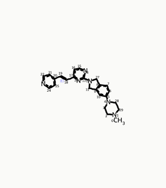 CN1CCN(c2ccc3c(c2)CN(c2nccc(/C=C/c4ccncc4)n2)C3)CC1